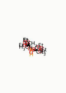 CCO[Si](OCC)(OCC)C(C)(C)CO[PH](=O)OCC(C)(C)[Si](OCC)(OCC)OCC